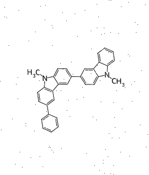 Cn1c2ccccc2c2cc(-c3ccc4c(c3)c3cc(-c5ccccc5)ccc3n4C)ccc21